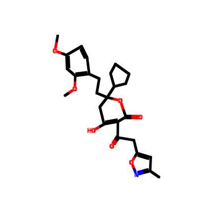 COc1ccc(CCC2(C3CCCC3)CC(O)=C(C(=O)Cc3cc(C)no3)C(=O)O2)c(OC)c1